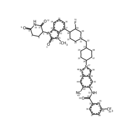 Cn1c(=O)n(C2CCC(=O)NC2=O)c2cccc(C3CCN(CC4CCC(n5cc6cc(NC(=O)c7cccc(C(F)(F)F)n7)c(C#N)cc6n5)CC4)CC3F)c21